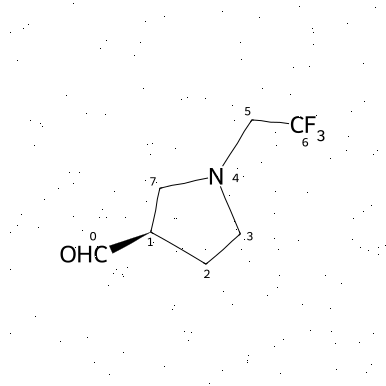 O=C[C@@H]1CCN(CC(F)(F)F)C1